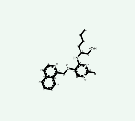 CCCC[C@@H](CO)Nc1nc(C)ncc1OCc1nccc2ccccc12